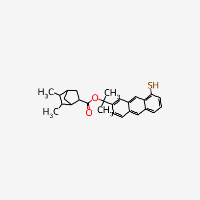 CC1C2CC(C(=O)OC(C)(C)c3ccc4cc5cccc(S)c5cc4c3)C(C2)C1C